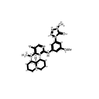 COc1cc(Nc2ncc(F)c(N(C)[C@H]3CCCN4CCCC[C@H]34)n2)cc(-n2nnn(C)c2=O)c1